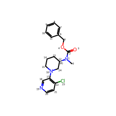 CN(C(=O)OCc1ccccc1)[C@@H]1CCCN(c2cnccc2Cl)C1